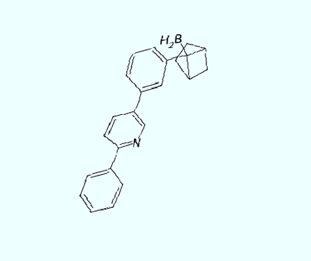 BC1(c2cccc(-c3ccc(-c4ccccc4)nc3)c2)C2CCC1C2